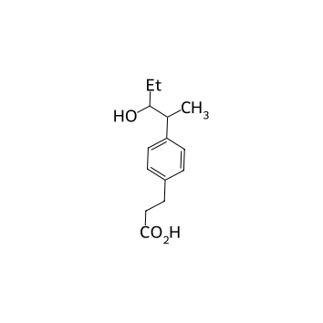 CCC(O)C(C)c1ccc(CCC(=O)O)cc1